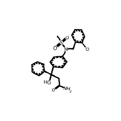 CS(=O)(=O)N(Cc1ccccc1Cl)c1ccc(C(O)(CC(N)=O)c2ccccc2)cc1